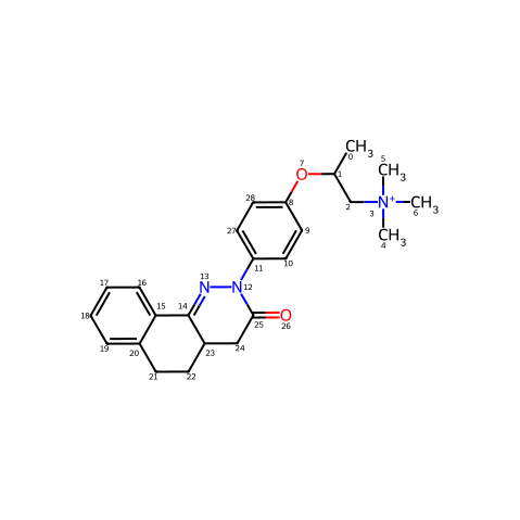 CC(C[N+](C)(C)C)Oc1ccc(N2N=C3c4ccccc4CCC3CC2=O)cc1